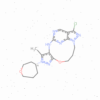 Cc1c2c(nn1[C@@H]1CCCOCC1)OCCCn1nc(Cl)c3cnc(nc31)N2